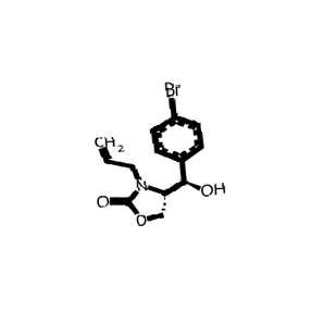 C=CCN1C(=O)OC[C@H]1[C@H](O)c1ccc(Br)cc1